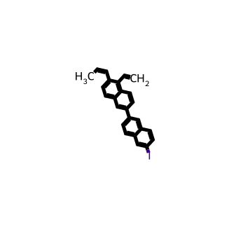 C=Cc1c(/C=C\C)ccc2cc(-c3ccc4cc(I)ccc4c3)ccc12